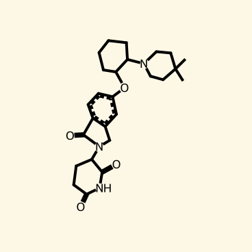 CC1(C)CCN(C2CCCCC2Oc2ccc3c(c2)CN(C2CCC(=O)NC2=O)C3=O)CC1